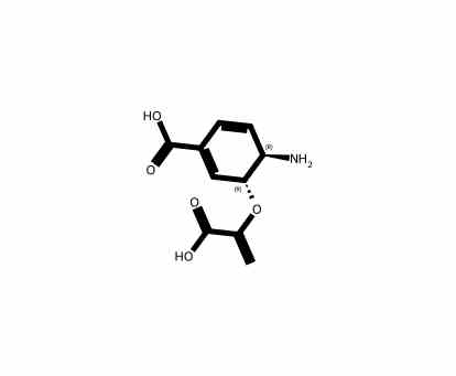 C=C(O[C@@H]1C=C(C(=O)O)C=C[C@H]1N)C(=O)O